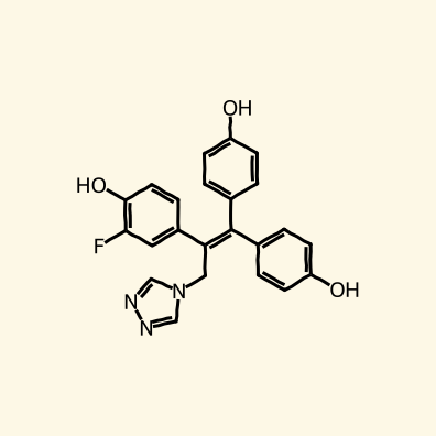 Oc1ccc(C(=C(Cn2cnnc2)c2ccc(O)c(F)c2)c2ccc(O)cc2)cc1